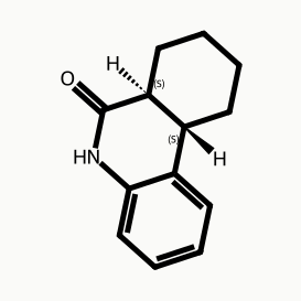 O=C1Nc2ccccc2[C@H]2CCCC[C@H]12